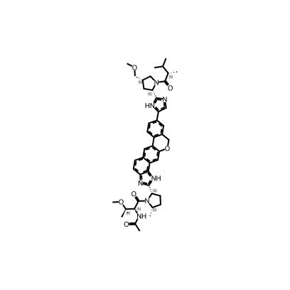 COC[C@H]1C[C@@H](c2ncc(-c3ccc4c(c3)COc3cc5c(ccc6nc([C@@H]7CC[C@H](C)N7C(=O)[C@@H](NC(C)=O)[C@@H](C)OC)[nH]c65)cc3-4)[nH]2)N(C(=O)[C@@H](C)C(C)C)C1